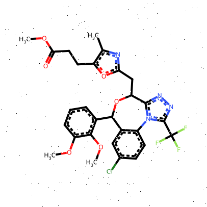 COC(=O)CCc1oc(CC2OC(c3cccc(OC)c3OC)c3cc(Cl)ccc3-n3c2nnc3C(F)(F)F)nc1C